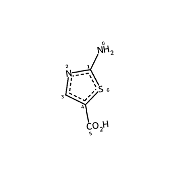 Nc1ncc(C(=O)O)s1